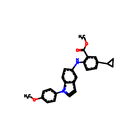 COC(=O)c1cc(C2CC2)ccc1Nc1ccc2c(c#cn2-c2ccc(OC)cc2)c1